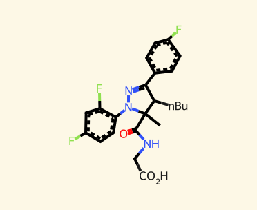 CCCCC1C(c2ccc(F)cc2)=NN(c2ccc(F)cc2F)C1(C)C(=O)NCC(=O)O